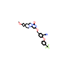 COC1CC2(CCN3c4cc(OCc5ccc(Oc6cccc(C(F)(F)F)c6)c(C#N)c5)nc(=O)n4CC3C2)C1